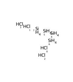 Cl.Cl.Cl.Cl.[SiH4].[SiH4].[SiH4].[SiH4]